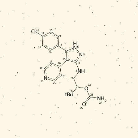 CC(C)(C)C(CNc1n[nH]c(-c2ccc(Cl)cc2)c1-c1ccncc1)OC(N)=O